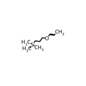 CC=COCCC[Si](C)(C)C